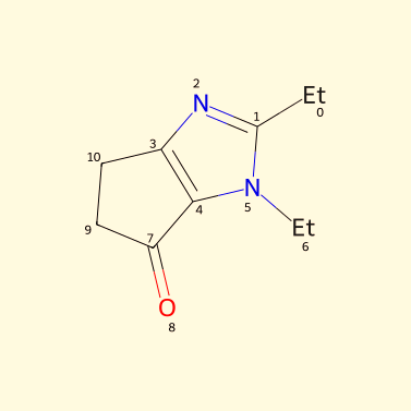 CCc1nc2c(n1CC)C(=O)CC2